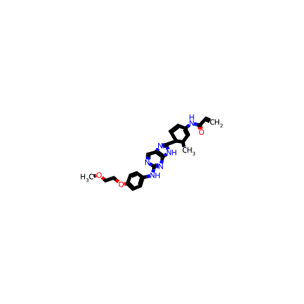 C=CC(=O)NC1=CC(C)C(c2nc3cnc(Nc4ccc(OCCOC)cc4)nc3[nH]2)C=C1